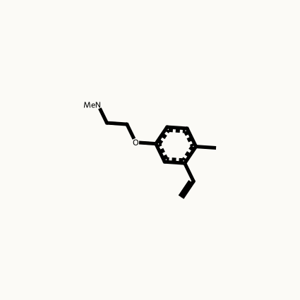 C=Cc1cc(OCCNC)ccc1C